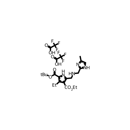 CCOC(=O)c1c(CNCc2nc(C)c[nH]2)[nH]c(C(=O)OC(C)(C)C)c1CC.O=C(O)C(F)(F)F.O=C(O)C(F)(F)F